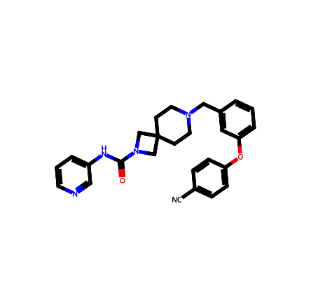 N#Cc1ccc(Oc2cccc(CN3CCC4(CC3)CN(C(=O)Nc3cccnc3)C4)c2)cc1